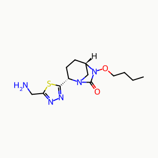 CCCCON1C(=O)N2C[C@@H]1CC[C@H]2c1nnc(CN)s1